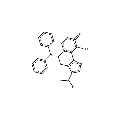 O=c1ccn2c(c1O)-c1ncc(C(F)F)n1C[C@@H]2C(c1ccccc1)c1ccccc1